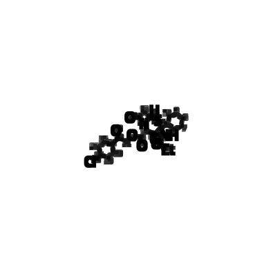 CCC(=O)NC1(c2ccccc2)S[C@H]2CC(=O)N2C(C(=O)OCC(=O)c2ccc(Cl)cc2)=C1Cl